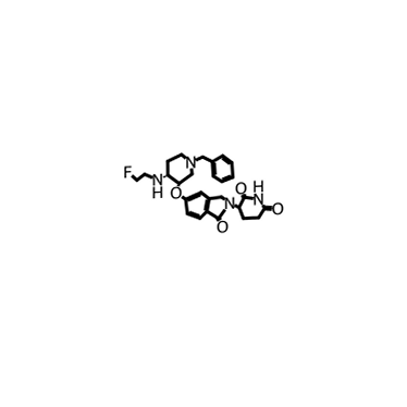 O=C1CCC(N2Cc3cc(O[C@@H]4CN(Cc5ccccc5)CC[C@H]4NCCF)ccc3C2=O)C(=O)N1